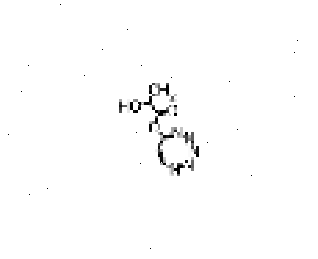 CC(O)C(=O)OC1=NN=NN=NC=C1